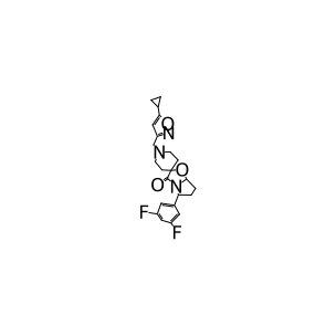 O=C1N2C(CCC2c2cc(F)cc(F)c2)OC12CCN(Cc1cc(C3CC3)on1)CC2